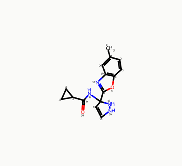 Cc1ccc2oc(C3(NC(=O)C4CC4)C=CNN3)nc2c1